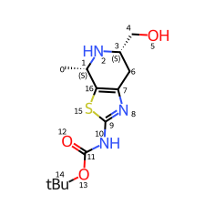 C[C@@H]1N[C@H](CO)Cc2nc(NC(=O)OC(C)(C)C)sc21